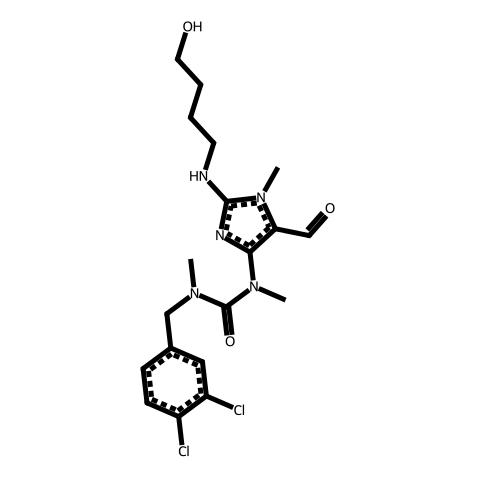 CN(Cc1ccc(Cl)c(Cl)c1)C(=O)N(C)c1nc(NCCCCO)n(C)c1C=O